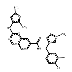 Cc1cc(Nc2ncc3ccc(C(=O)N[C@@H](c4ccc(Cl)c(F)c4)c4cnn(C)c4)cc3n2)n(C)n1